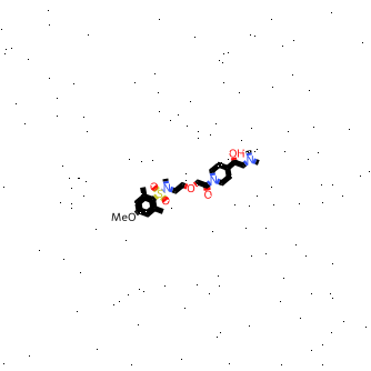 COc1cc(C)c(S(=O)(=O)N(C)CCOCC(=O)N2CCC(C(O)CN(C)C)CC2)c(C)c1